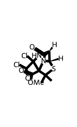 COC(=O)C12N3C(=O)[C@H](NC1(Cl)C(Cl)Cl)[C@@H]3SC2(C)C